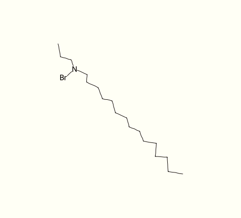 CCCCCCCCCCCCCCCN(Br)CCC